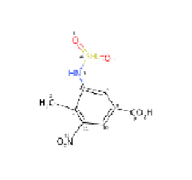 Cc1c(N[SH](=O)=O)cc(C(=O)O)cc1[N+](=O)[O-]